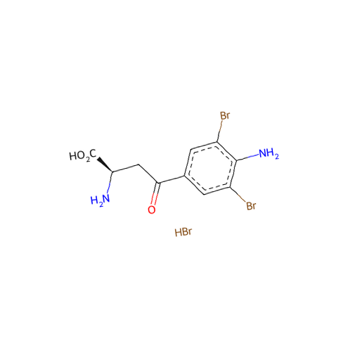 Br.Nc1c(Br)cc(C(=O)C[C@@H](N)C(=O)O)cc1Br